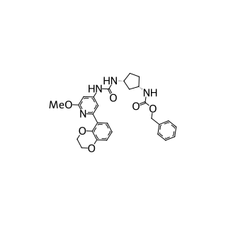 COc1cc(NC(=O)N[C@@H]2CC[C@H](NC(=O)OCc3ccccc3)C2)cc(-c2cccc3c2OCCO3)n1